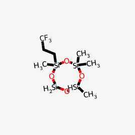 C[SiH]1O[SiH2]O[Si](C)(CCC(F)(F)F)O[Si](C)(C)O1